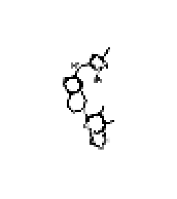 Cc1cc(Nc2cnc3c(c2)CN(c2nn4cnnc4c(C)c2C)CC3)n(C(C)C)n1